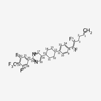 C=CCC/C(F)=C(\F)c1ccc(C2CCC(c3cnc(-c4cc(F)c(C(F)(F)F)c(F)c4)nc3)CC2)cc1